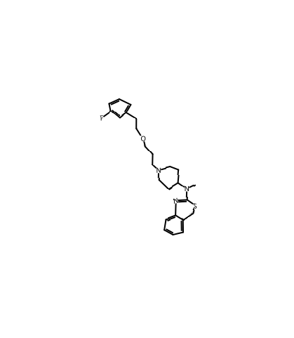 CN(C1=Nc2ccccc2CS1)C1CCN(CCCOCCc2cccc(F)c2)CC1